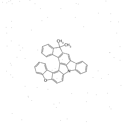 CC1(C)c2ccccc2-c2c1cc1c3ccccc3n3c4ccc5oc6ccccc6c5c4c2c13